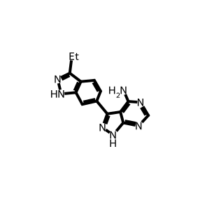 CCc1n[nH]c2cc(-c3n[nH]c4ncnc(N)c34)ccc12